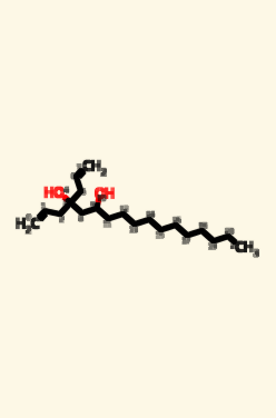 C=CCC(O)(CC=C)CC(O)CCCCCCCCCCC